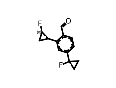 O=Cc1ccc(C2(F)CC2)cc1C1C[C@H]1F